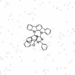 c1ccc(-c2nc(-c3ccccc3)nc(-n3c4ccccc4c4ccc5c6ccccc6n(-c6ccc7oc8ccccc8c7c6)c5c43)n2)cc1